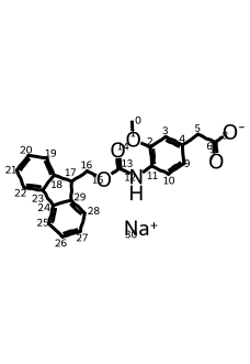 COc1cc(CC(=O)[O-])ccc1NC(=O)OCC1c2ccccc2-c2ccccc21.[Na+]